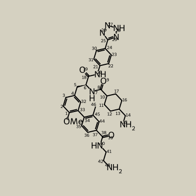 COc1ccc(C[C@H](NC(=O)C2CCC(CN)CC2)C(=O)Nc2ccc(-c3nn[nH]n3)cc2)cc1-c1ccc(C(=O)NCCN)cc1C